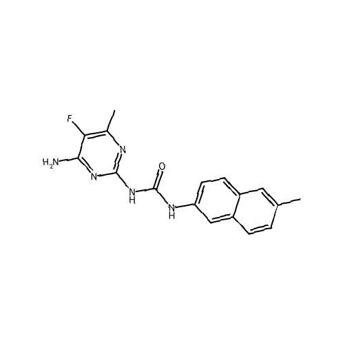 Cc1ccc2cc(NC(=O)Nc3nc(C)c(F)c(N)n3)ccc2c1